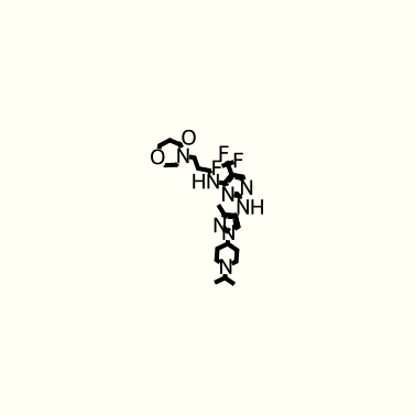 Cc1nn(C2CCN(C(C)C)CC2)cc1Nc1ncc(C(F)(F)F)c(NCCCN2CCOCCC2=O)n1